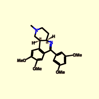 COc1cc(OC)cc(C2=N[C@@H]3CCN(C)C[C@@H]3c3cc(OC)c(OC)cc32)c1